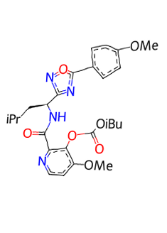 COc1ccc(-c2nc([C@H](CC(C)C)NC(=O)c3nccc(OC)c3OC(=O)OCC(C)C)no2)cc1